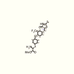 COC(=O)[C@@H](N)Cc1ccc(Oc2ccc(/C=C3/SC(=S)NC3=O)cc2C(F)(F)F)cc1